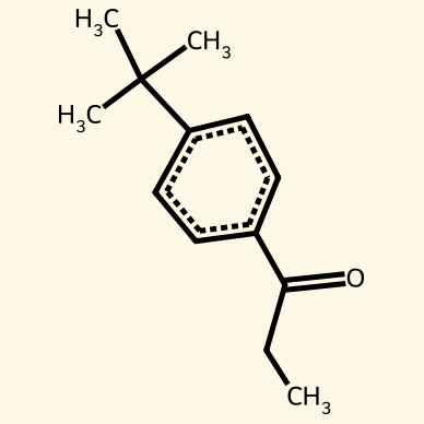 CCC(=O)c1ccc(C(C)(C)C)cc1